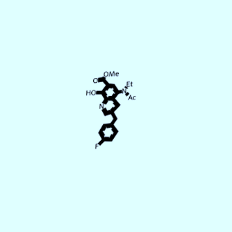 CCN(C(C)=O)c1cc(C(=O)OC)c(O)c2ncc(Cc3ccc(F)cc3)cc12